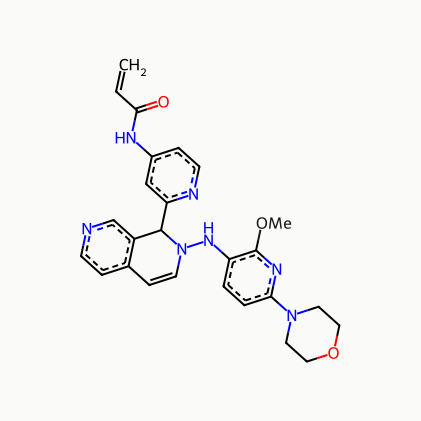 C=CC(=O)Nc1ccnc(C2c3cnccc3C=CN2Nc2ccc(N3CCOCC3)nc2OC)c1